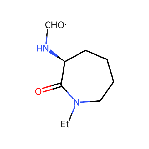 CCN1CCCC[C@H](N[C]=O)C1=O